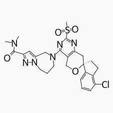 CN(C)C(=O)c1cc2n(n1)CCCN(c1nc(S(C)(=O)=O)nc3c1CO[C@@]1(CCc4c(Cl)cccc41)C3)C2